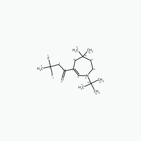 CC(F)(F)CC(=O)C1=CN(C(C)(C)C)CCC(C)(C)C1